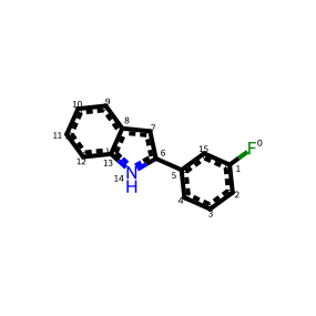 Fc1cccc(-c2cc3cc[c]cc3[nH]2)c1